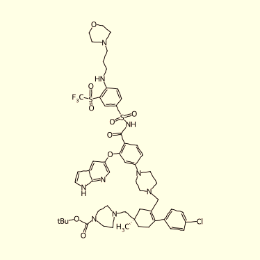 CC(C)(C)OC(=O)N1CCN(C[C@]2(C)CCC(c3ccc(Cl)cc3)=C(CN3CCN(c4ccc(C(=O)NS(=O)(=O)c5ccc(NCCCN6CCOCC6)c(S(=O)(=O)C(F)(F)F)c5)c(Oc5cnc6[nH]ccc6c5)c4)CC3)C2)CC1